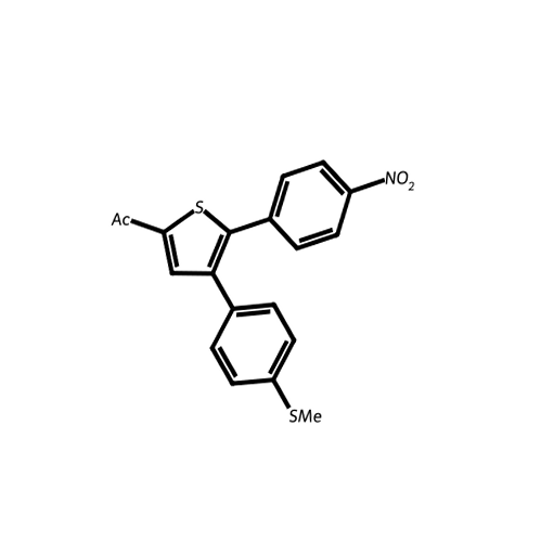 CSc1ccc(-c2cc(C(C)=O)sc2-c2ccc([N+](=O)[O-])cc2)cc1